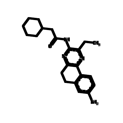 CCc1nc2c(nc1NC(=O)CC1CCCCC1)CCc1cc(N)ccc1-2